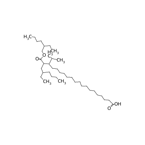 CCCCC(CC)COC(=O)C(CC(CC)CCCC)C(CCCCCCCCCCCCCCCCC(=O)O)C(C)C